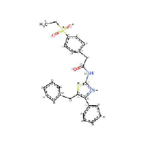 CCS(=O)(=O)c1ccc(CC(=O)Nc2nc(-c3ccccc3)c(Cc3ccccc3)s2)cc1